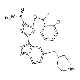 CC(Oc1cc(-n2cnc3ccc(CC4CCNCC4)cc32)sc1C(N)=O)c1ccccc1Cl